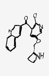 O=C(c1cnc2ccccc2c1)c1cc(OC[C@@H]2CCN2)cnc1Cl